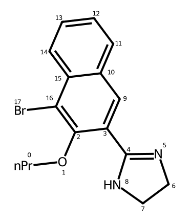 CCCOc1c(C2=NCCN2)cc2ccccc2c1Br